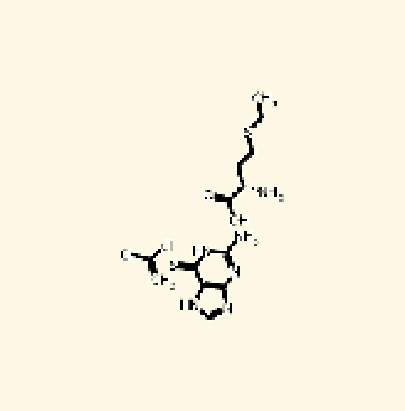 C=C(Cl)Cl.CCSCC[C@H](N)C(=O)O.Nc1nc2nc[nH]c2c(=S)[nH]1